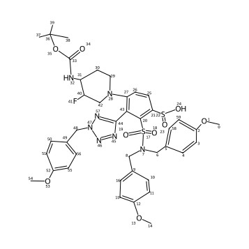 COc1ccc(CN(Cc2ccc(OC)cc2)S(=O)(=O)c2c(S(=O)O)ccc(N3CCC(NC(=O)OC(C)(C)C)C(F)C3)c2-c2nnn(Cc3ccc(OC)cc3)n2)cc1